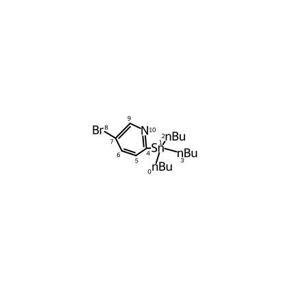 CCC[CH2][Sn]([CH2]CCC)([CH2]CCC)[c]1ccc(Br)cn1